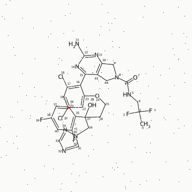 CC(F)(F)CNC(=O)N1Cc2nc(N)nc(-c3c(Cl)cc(Cl)cc3OCCC(O)(Cn3cncn3)c3ccc(F)cc3F)c2C1